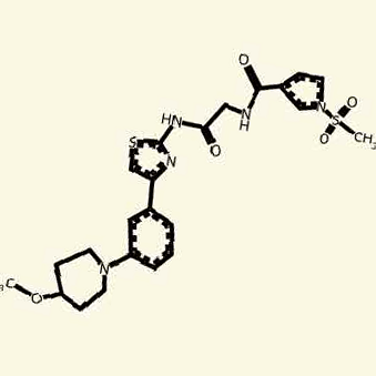 COC1CCN(c2cccc(-c3csc(NC(=O)CNC(=O)c4ccn(S(C)(=O)=O)c4)n3)c2)CC1